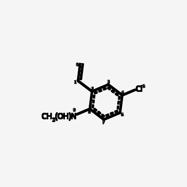 C=Cc1cc(Cl)ccc1N(C)O